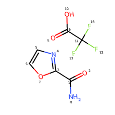 NC(=O)c1ncco1.O=C(O)C(F)(F)F